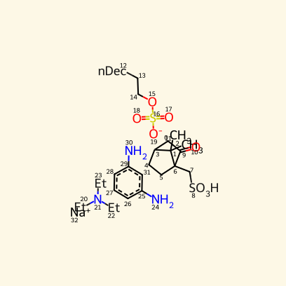 CC1(C)C2CCC1(CS(=O)(=O)O)C(=O)C2.CCCCCCCCCCCCOS(=O)(=O)[O-].CCN(CC)CC.Nc1cccc(N)c1.[Na+]